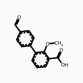 COc1c(C(=O)O)cccc1-c1ccc(C=O)cc1